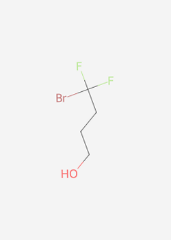 OCCCC(F)(F)Br